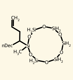 C=CCC(CCCCCCCCCC)[Si]1(C)O[SiH2]O[SiH2]O[SiH2]O[SiH2]O[SiH2]O1